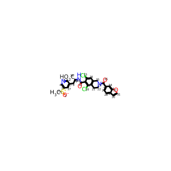 C[S+]([O-])c1cncc(C[C@H](NC(=O)c2c(Cl)cc3c(c2Cl)CCN(C(=O)c2ccc4ccoc4c2)C3)C(=O)O)c1